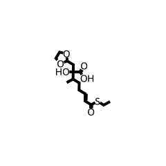 CCSC(=O)C=CCCC(C)C(O)(CC1OCCO1)C(=O)O